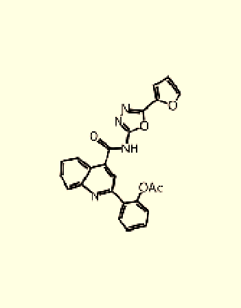 CC(=O)Oc1ccccc1-c1cc(C(=O)Nc2nnc(-c3ccco3)o2)c2ccccc2n1